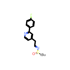 CC(C)(C)[S@@+]([O-])N=CCc1ccnc(-c2ccc(F)cc2)c1